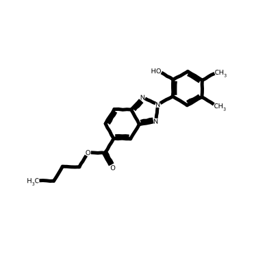 CCCCOC(=O)c1ccc2nn(-c3cc(C)c(C)cc3O)nc2c1